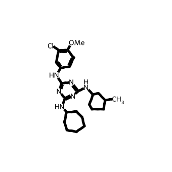 COc1ccc(Nc2nc(NC3CCCCCC3)nc(NC3CCCC(C)C3)n2)cc1Cl